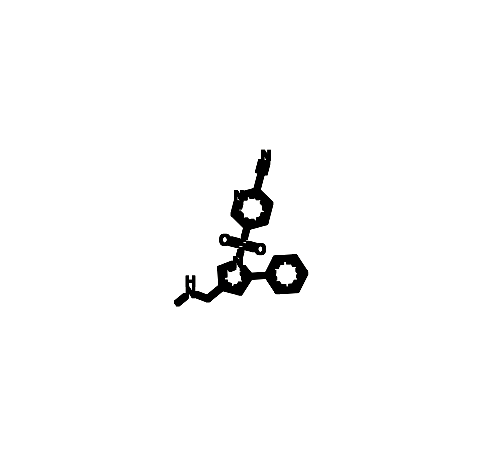 CNCc1cc(-c2ccccc2)n(S(=O)(=O)c2ccc(C#N)nc2)c1